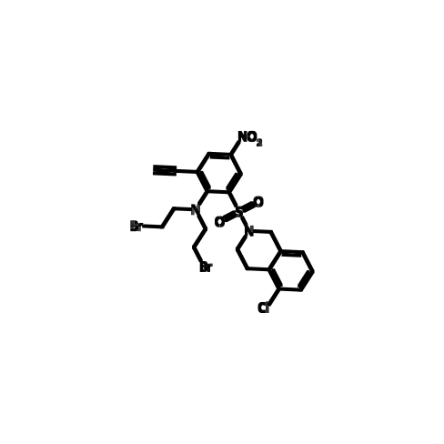 C#Cc1cc([N+](=O)[O-])cc(S(=O)(=O)N2CCc3c(Cl)cccc3C2)c1N(CCBr)CCBr